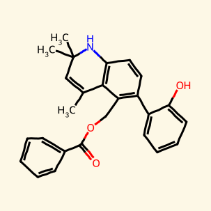 CC1=CC(C)(C)Nc2ccc(-c3ccccc3O)c(COC(=O)c3ccccc3)c21